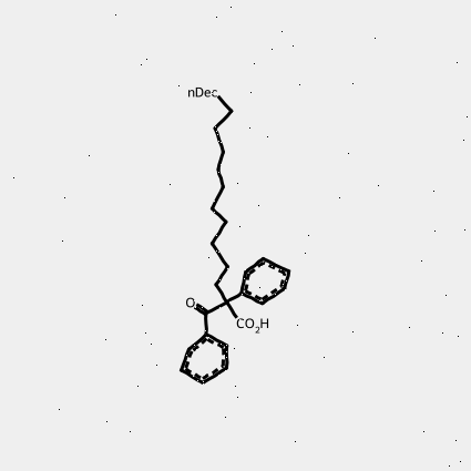 CCCCCCCCCCCCCCCCCCCCC(C(=O)O)(C(=O)c1ccccc1)c1ccccc1